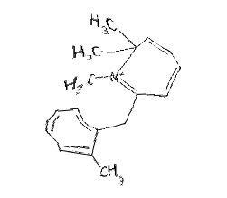 Cc1ccccc1CC1=[N+](C)C(C)(C)C=CC=C1